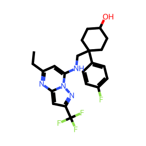 CCc1cc(NCC2(c3ccc(F)cc3)CCC(O)CC2)n2nc(C(F)(F)F)cc2n1